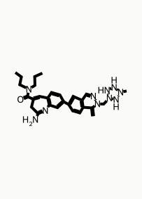 C=C1c2ccc(-c3ccc4c(c3)N=C(N)CC(C(=O)N(CCC)CCC)=C4)cc2C=NN1Cn1[nH][nH]n(C)[nH]1